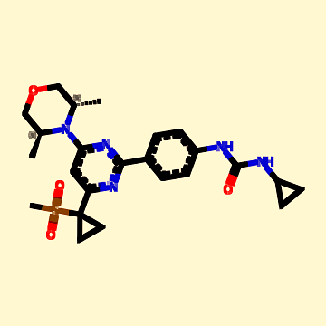 C[C@H]1COC[C@H](C)N1c1cc(C2(S(C)(=O)=O)CC2)nc(-c2ccc(NC(=O)NC3CC3)cc2)n1